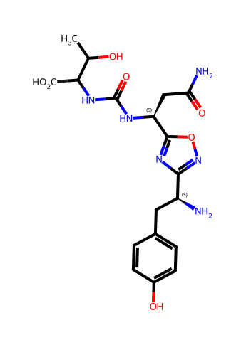 CC(O)C(NC(=O)N[C@@H](CC(N)=O)c1nc([C@@H](N)Cc2ccc(O)cc2)no1)C(=O)O